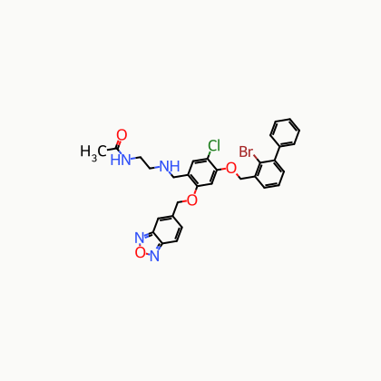 CC(=O)NCCNCc1cc(Cl)c(OCc2cccc(-c3ccccc3)c2Br)cc1OCc1ccc2nonc2c1